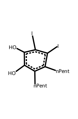 CCCCCc1c(O)c(O)c(I)c(I)c1CCCCC